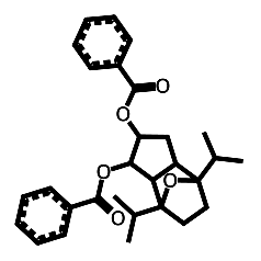 CC(C)C12CCC(C(C)C)(O1)C1C(OC(=O)c3ccccc3)C(OC(=O)c3ccccc3)CC12